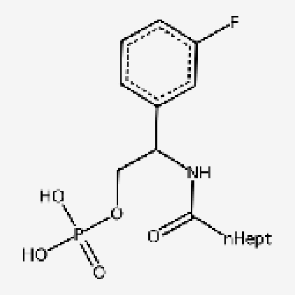 CCCCCCCC(=O)NC(COP(=O)(O)O)c1cccc(F)c1